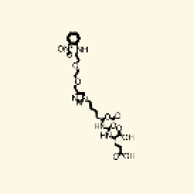 O=CO[C@H](CCCCn1cc(COCCOCCNc2ccccc2[N+](=O)[O-])nn1)NC(=O)N[C@@H](CCC(=O)O)C(=O)O